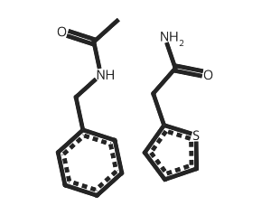 CC(=O)NCc1ccccc1.NC(=O)Cc1cccs1